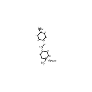 CCCCC[C@]1(C#N)CC[C@H](OC[C@H]2CC[C@H](CCCC)CC2)CC1